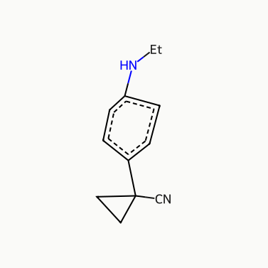 CCNc1ccc(C2(C#N)CC2)cc1